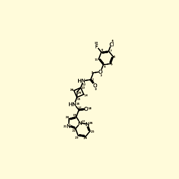 O=C(COc1ccc(Cl)c(F)c1)NC12CC(NC(=O)c3cnc4cccnn34)(C1)C2